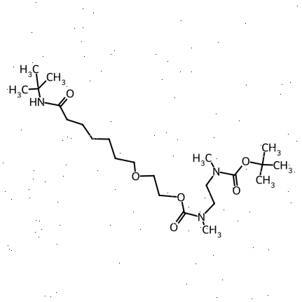 CN(CCN(C)C(=O)OC(C)(C)C)C(=O)OCCOCCCCCCC(=O)NC(C)(C)C